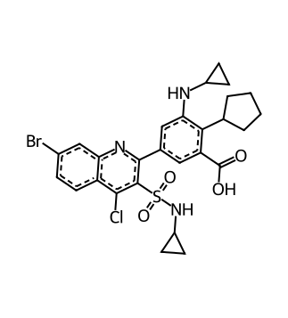 O=C(O)c1cc(-c2nc3cc(Br)ccc3c(Cl)c2S(=O)(=O)NC2CC2)cc(NC2CC2)c1C1CCCC1